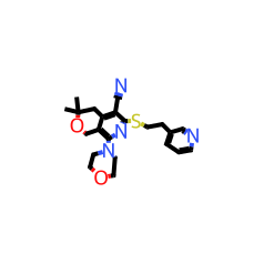 CC1(C)Cc2c(C#N)c(SCCc3cccnc3)nc(N3CCOCC3)c2CO1